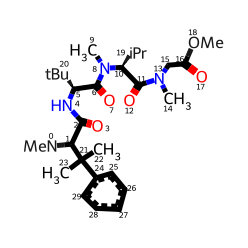 CNC(C(=O)N[C@H](C(=O)N(C)[C@H](C(=O)N(C)CC(=O)OC)C(C)C)C(C)(C)C)C(C)(C)c1ccccc1